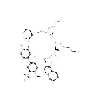 CN1C(=O)[C@H](CCCCN)NC(=O)[C@H](CCCN)NCc2cccnc2Sc2c(Cl)ccc(-c3ccc(CO)c(S(C)(=O)=O)c3)c2CNC(=O)[C@@H]1Cc1c[nH]c2ccccc12